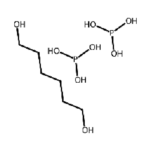 OCCCCCCO.OP(O)O.OP(O)O